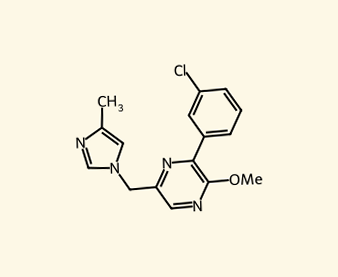 COc1ncc(Cn2cnc(C)c2)nc1-c1cccc(Cl)c1